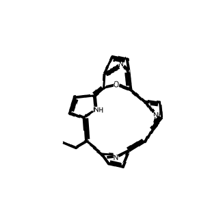 CCC1=c2ccc([nH]2)=C2OC(=C3C=CC2=N3)c2ccc([nH]2)C=C2C=CC1=N2